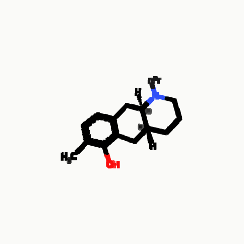 CCCN1CCC[C@@H]2Cc3c(ccc(C)c3O)C[C@H]21